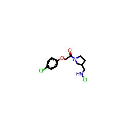 O=C(COc1ccc(Cl)cc1)N1CCC(CNCl)C1